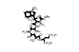 CCOC(=O)C(CCC(=O)O)NC(=O)/C(C)=C/C(C(C)C)N(C)C(=O)C(NC(=O)C(N(C)C(=O)OC(C)(C)C)C(C)(C)c1cn(C)c2ccccc12)C(C)(C)C